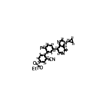 CCS(=O)(=O)c1ccc(-c2cc(-c3cnnc4c3ncn4C3CC3)ccc2F)c(C#N)c1